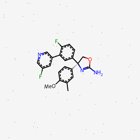 COc1ccc([C@]2(c3ccc(F)c(-c4cncc(F)c4)c3)COC(N)=N2)cc1C